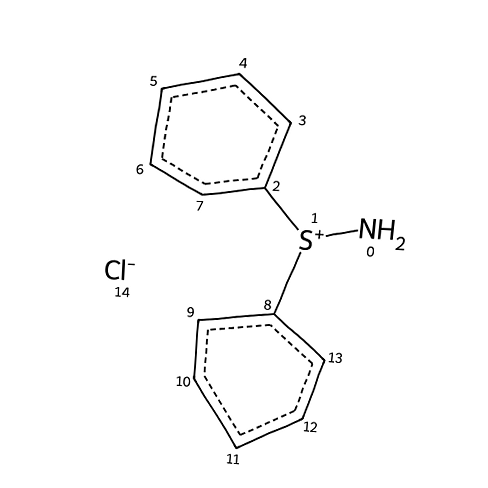 N[S+](c1ccccc1)c1ccccc1.[Cl-]